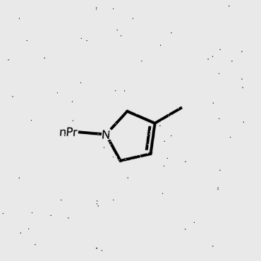 CCCN1CC=C(C)C1